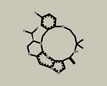 C=C1NC(C)(C)CCOc2ccc(F)cc2CN2c3nc4c1cnn4cc3OC[C@H]2C(F)F